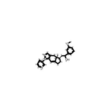 COc1cccc(C(O)C[C@H]2CCC3=Cc4c(cnn4-c4cccnc4)C[C@@]32C)c1